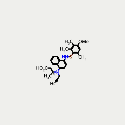 C#CCN(c1ccc(NSc2c(C)cc(OC)c(C)c2C)c2ccccc12)[C@@H](C)CC(=O)O